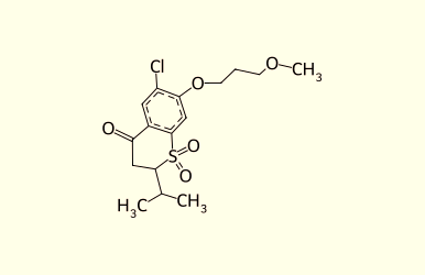 COCCCOc1cc2c(cc1Cl)C(=O)CC(C(C)C)S2(=O)=O